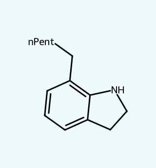 [CH2]CCCCCc1cccc2c1NCC2